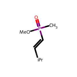 COP(C)(=O)/C=C/C(C)C